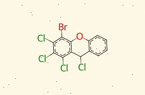 Clc1c(Cl)c(Br)c2c(c1Cl)C(Cl)c1ccccc1O2